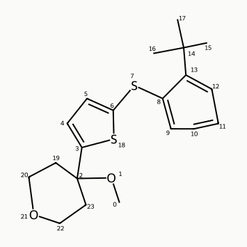 COC1(c2ccc(Sc3ccccc3C(C)(C)C)s2)CCOCC1